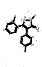 Cc1ccc(-c2c(-c3ccccc3C)[nH]n(C)c2=O)cc1